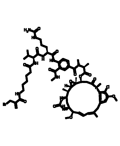 C=C(CBr)C(=O)NCCCCCC(=O)N[C@H](C(=O)N[C@@H](CCCNC(N)=O)C(=O)Nc1ccc(C(=O)N(C)[C@@H](C)C(=O)O[C@H]2CC(=O)N(C)c3cc(cc(OC)c3Cl)C/C(C)=C/C=C/[C@@H](OC)[C@@]3(O)C[C@H](OC(=O)N3)[C@@H](C)[C@@H]3O[C@@]23C)cc1C(=O)NC)C(C)C